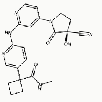 CNC(=O)C1(c2ccc(Nc3cc(N4CC[C@](O)(C#N)C4=O)ccn3)nc2)CCC1